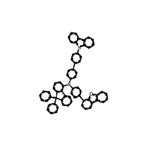 c1ccc(C2(c3ccccc3)c3ccccc3-c3c(N(c4ccc(-c5ccc(-n6c7ccccc7c7ccccc76)cc5)cc4)c4ccc(-c5cccc6c5oc5ccccc56)cc4)cccc32)cc1